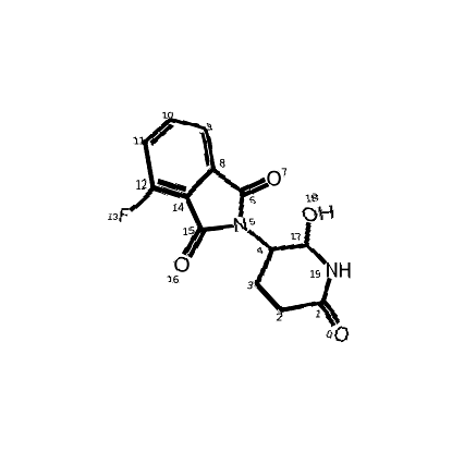 O=C1CCC(N2C(=O)c3cccc(F)c3C2=O)C(O)N1